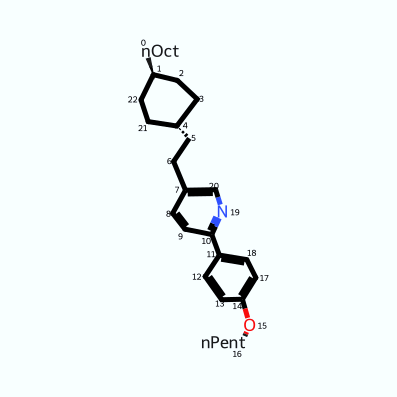 CCCCCCCC[C@H]1CC[C@H](CCc2ccc(-c3ccc(OCCCCC)cc3)nc2)CC1